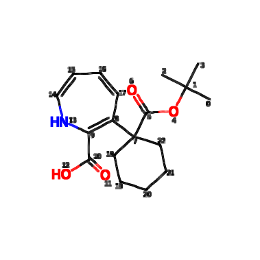 CC(C)(C)OC(=O)C1(C2=C(C(=O)O)NC=CC=C2)CCCCC1